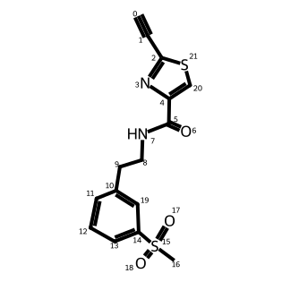 C#Cc1nc(C(=O)NCCc2cccc(S(C)(=O)=O)c2)cs1